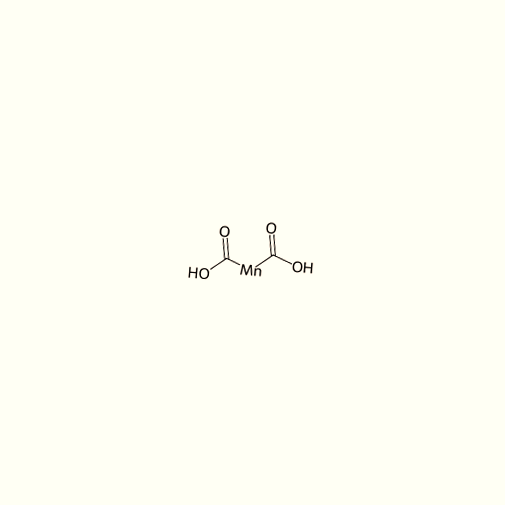 O=[C](O)[Mn][C](=O)O